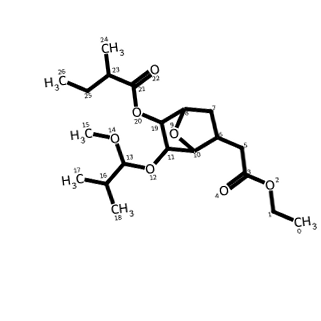 CCOC(=O)CC1CC2OC1C(OC(OC)C(C)C)C2OC(=O)C(C)CC